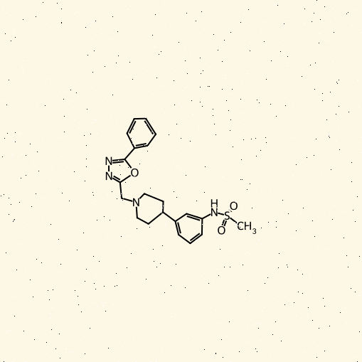 CS(=O)(=O)Nc1cccc(C2CCN(Cc3nnc(-c4ccccc4)o3)CC2)c1